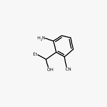 CCC(O)c1c(N)cccc1C#N